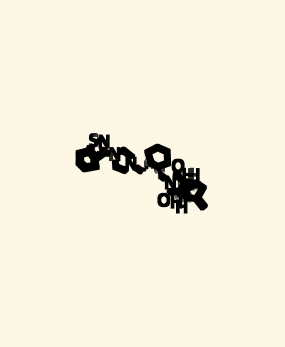 C=C1C[C@H]2C[C@@H]1[C@@H]1C(=O)N(C[C@@H]3CCCC[C@H]3CN3CCN(c4nsc5ccccc45)CC3)C(=O)[C@H]21